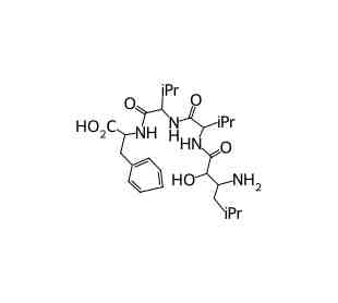 CC(C)CC(N)C(O)C(=O)NC(C(=O)NC(C(=O)NC(Cc1ccccc1)C(=O)O)C(C)C)C(C)C